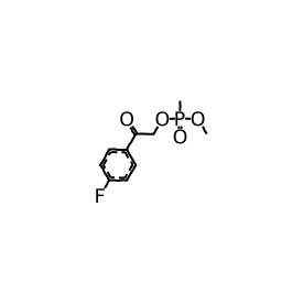 COP(C)(=O)OCC(=O)c1ccc(F)cc1